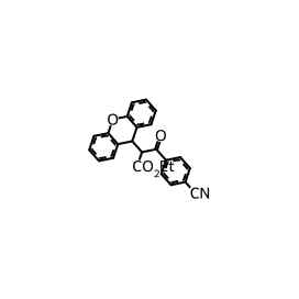 CCOC(=O)C(C(=O)c1ccc(C#N)cc1)C1c2ccccc2Oc2ccccc21